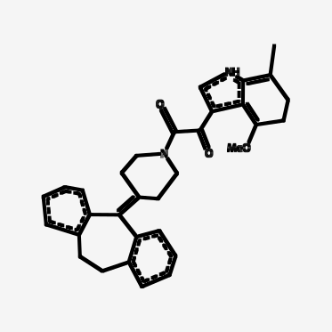 COC1=c2c(C(=O)C(=O)N3CCC(=C4c5ccccc5CCc5ccccc54)CC3)c[nH]c2=C(C)CC1